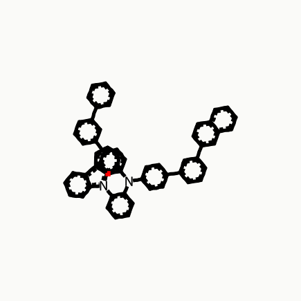 c1ccc(-c2cccc(-c3ccc(N(c4ccc(-c5cccc(-c6ccc7ccccc7c6)c5)cc4)c4ccccc4-n4c5ccccc5c5ccccc54)cc3)c2)cc1